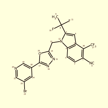 [C-]#[N+]c1ccc2c(cc(C(C)(F)F)n2Cc2nnc(-c3cncc(Br)c3)o2)c1C(F)(F)F